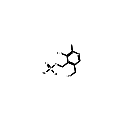 Cc1ncc(CO)c(COP(=O)(O)O)c1O